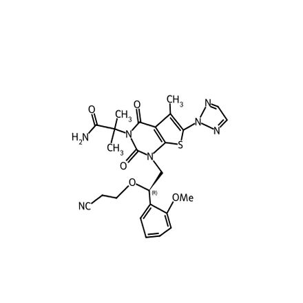 COc1ccccc1[C@H](Cn1c(=O)n(C(C)(C)C(N)=O)c(=O)c2c(C)c(-n3nccn3)sc21)OCCC#N